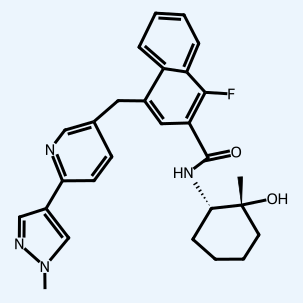 Cn1cc(-c2ccc(Cc3cc(C(=O)N[C@H]4CCCC[C@@]4(C)O)c(F)c4ccccc34)cn2)cn1